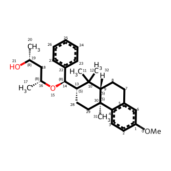 COc1ccc2c(c1)CC[C@H]1C(C)(C)[C@@H]([C@@H](O[C@H](C)C[C@@H](C)O)c3ccccc3)CC[C@]21C